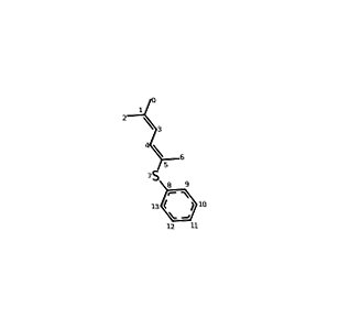 CC(C)=C/C=C(\C)Sc1ccccc1